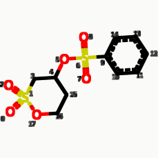 O=S1(=O)CC(OS(=O)(=O)c2ccccc2)CCO1